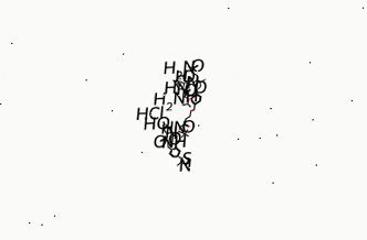 Cc1ncsc1-c1ccc(CNC(=O)[C@@H]2C[C@@H](O)CN2C(=O)[C@@H](NC(=O)CCCCc2ccc(CO[C@H](C)[C@H](CCC(N)=O)NC(=O)[C@@H]3[C@@H]4C[C@@H]4CN3C(=O)[C@@H](N)CC(C)C)cc2)C(C)(C)C)cc1.Cl